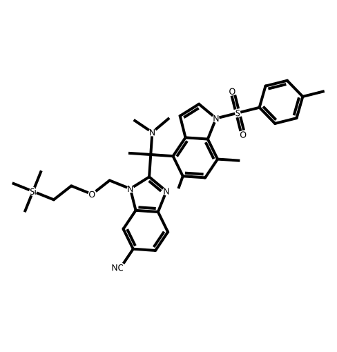 Cc1ccc(S(=O)(=O)n2ccc3c(C(C)(c4nc5ccc(C#N)cc5n4COCC[Si](C)(C)C)N(C)C)c(C)cc(C)c32)cc1